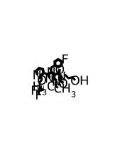 CC(C)n1c(=O)n(CCCO)c(=O)c2c1nc(-c1cccnc1OC[C@H]1CC1(F)F)n2Cc1ccc(F)cc1